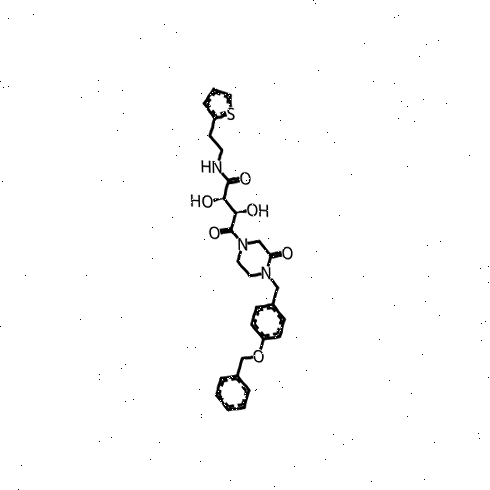 O=C(NCCc1cccs1)[C@H](O)[C@@H](O)C(=O)N1CCN(Cc2ccc(OCc3ccccc3)cc2)C(=O)C1